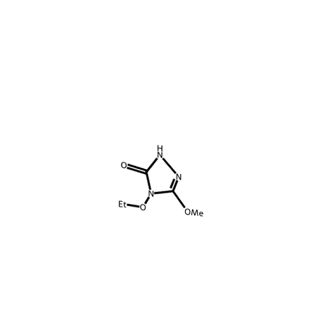 CCOn1c(OC)n[nH]c1=O